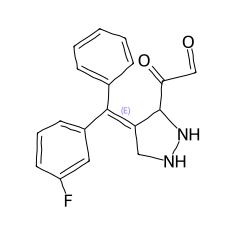 O=CC(=O)C1NNC/C1=C(/c1ccccc1)c1cccc(F)c1